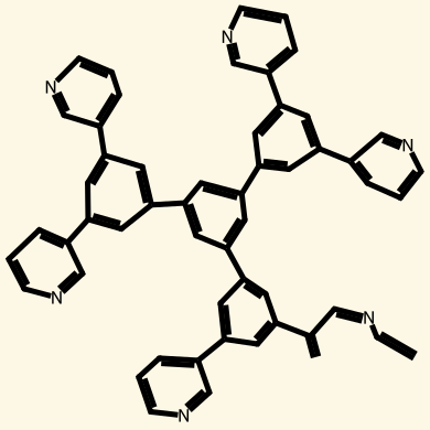 C=C/N=C\C(=C)c1cc(-c2cccnc2)cc(-c2cc(-c3cc(-c4cccnc4)cc(-c4cccnc4)c3)cc(-c3cc(-c4cccnc4)cc(-c4cccnc4)c3)c2)c1